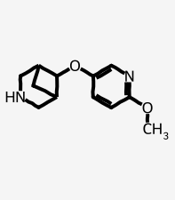 COc1ccc(OC2C3CNCC2C3)cn1